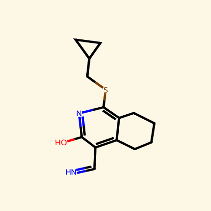 N=Cc1c(O)nc(SCC2CC2)c2c1CCCC2